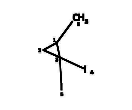 CC1CC1(I)I